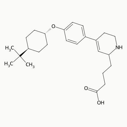 CC(C)(C)[C@H]1CC[C@H](Oc2ccc(C3=CC(CCCC(=O)O)NCC3)cc2)CC1